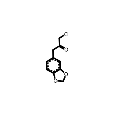 O=C(CCl)Cc1ccc2c(c1)OCO2